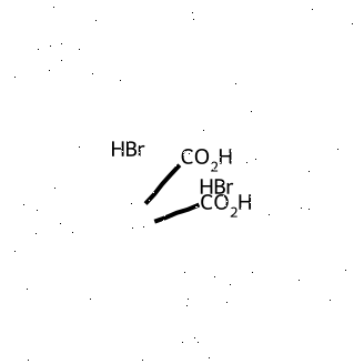 Br.Br.CC(=O)O.CC(=O)O